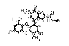 Cc1cc(F)cc(C)c1Oc1cn(C)c(=O)cc1-c1cn(C)c(=O)c2[nH]c(C(=O)NC(C)C)cc12